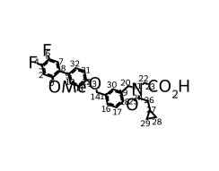 COc1cc(F)c(F)cc1-c1ccc(OCc2cccc(CN(CC(=O)O)C(=O)CC3CC3)c2)cc1